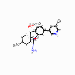 CO[C@H]1CC[C@]2(CC1)Cc1ccc(-c3cncc(C#N)c3)cc1[C@@]21COC(N)=N1.O=CO